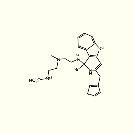 CN(CCNC(=O)O)CCNC1(Br)NC(Cc2ccsc2)=Cc2[nH]c3ccccc3c21